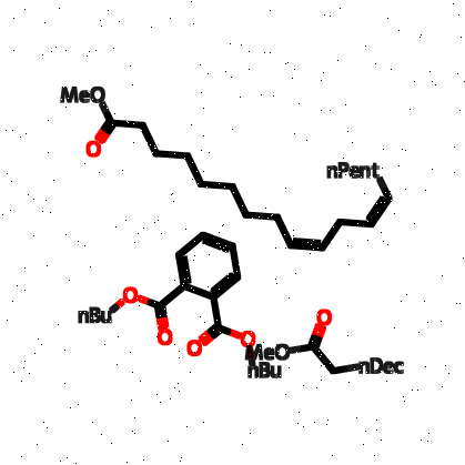 CCCCC/C=C\C/C=C\CCCCCCCC(=O)OC.CCCCCCCCCCCC(=O)OC.CCCCOC(=O)c1ccccc1C(=O)OCCCC